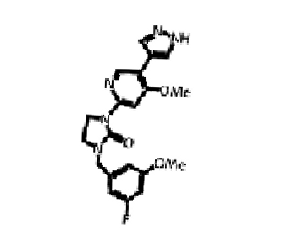 COc1cc(F)cc(CN2CCN(c3cc(OC)c(-c4cn[nH]c4)cn3)C2=O)c1